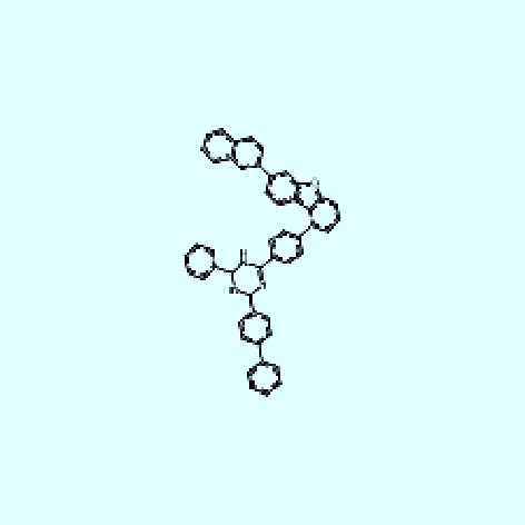 c1ccc(-c2ccc(C3N=C(c4ccc(-c5cccc6oc7cc(-c8ccc9ccccc9c8)ccc7c56)cc4)NC(c4ccccc4)N3)cc2)cc1